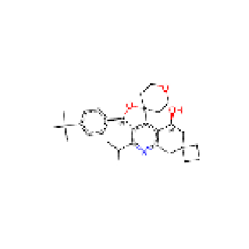 CC(C)c1nc2c(c3c1[C@@H](c1ccc(C(C)(C)C)cc1)OC31CCOCC1)[C@@H](O)CC1(CCC1)C2